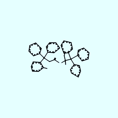 O=C(CC(c1ccccc1)(c1ccccc1)c1ccccc1S)NC(CS)(C(=O)O)C(c1ccccc1)(c1ccccc1)c1ccccc1